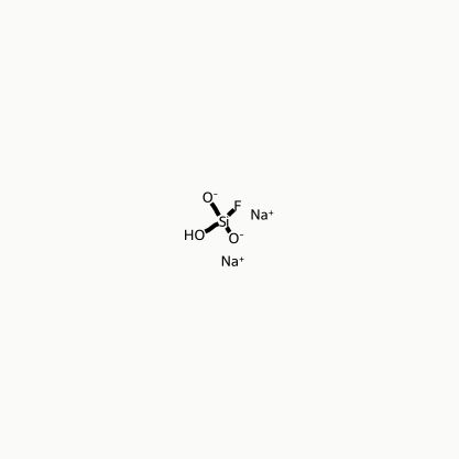 [Na+].[Na+].[O-][Si]([O-])(O)F